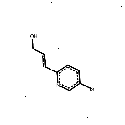 OCC=Cc1ccc(Br)cn1